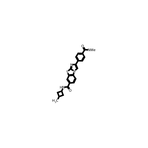 CNC(=O)c1ccc(-c2cn3c(n2)sc2cc(C(=O)NC4CC(C)C4)ccc23)cc1